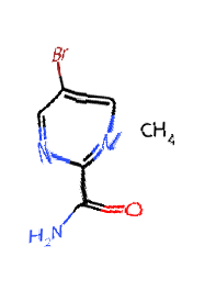 C.NC(=O)c1ncc(Br)cn1